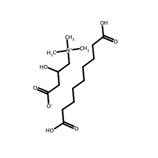 C[N+](C)(C)CC(O)CC(=O)[O-].O=C(O)CCCCCCCC(=O)O